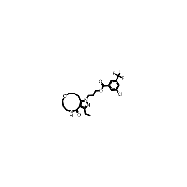 CCc1nn(CCCOC(=O)c2cc(Cl)cc(C(F)(F)F)c2)c2c1C(=O)NCCCOCCC2